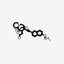 CC[C@]12OC(=O)C=C1C(C#Cc1ccc3cc(OC)ccc3c1)=CCN1CCCC[C@@H]12